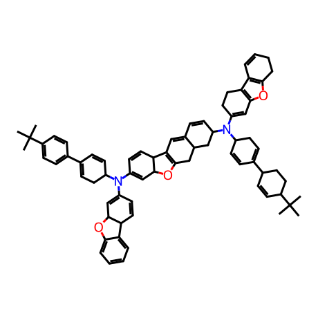 CC(C)(C)c1ccc(C2=CCC(N(C3=CC4OC5=C(C=C6C=CC(N(C7=Cc8oc9c(c8CC7)C=CCC9)C7C=CC(C8C=CC(C(C)(C)C)CC8)=CC7)CC6C5)C4C=C3)C3=CC4Oc5ccccc5C4C=C3)C=C2)cc1